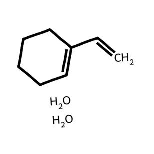 C=CC1=CCCCC1.O.O